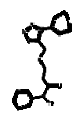 CCN(C(=O)CCSCc1nnnn1-c1ccccc1)c1ccccc1